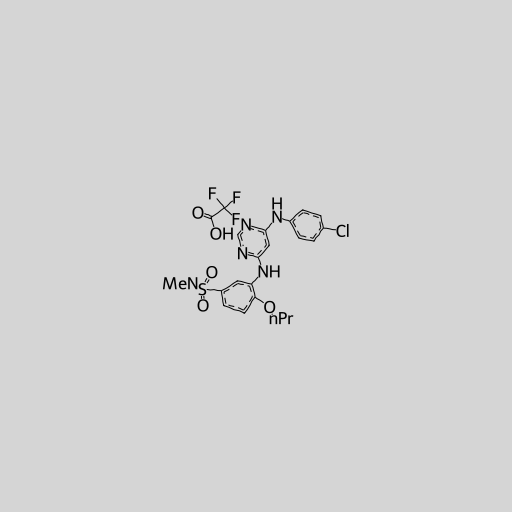 CCCOc1ccc(S(=O)(=O)NC)cc1Nc1cc(Nc2ccc(Cl)cc2)ncn1.O=C(O)C(F)(F)F